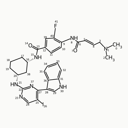 CN(C)C/C=C/C(=O)Nc1ccc(C(=O)N[C@H]2CCC[C@@H](Nc3ncc(I)c(-c4c[nH]c5ccccc45)n3)C2)cc1F